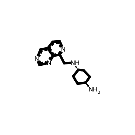 N[C@H]1CC[C@H](NCc2nccc3cncnc23)CC1